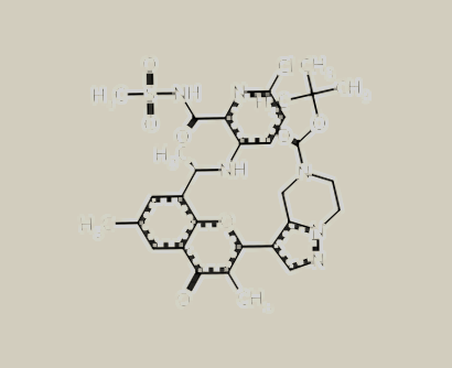 Cc1cc([C@@H](C)Nc2ccc(Cl)nc2C(=O)NS(C)(=O)=O)c2oc(-c3cnn4c3CN(C(=O)OC(C)(C)C)CC4)c(C)c(=O)c2c1